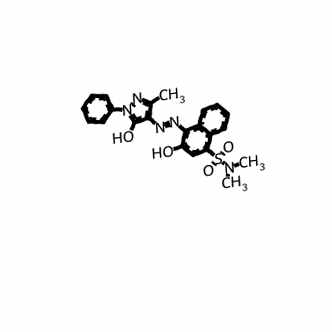 Cc1nn(-c2ccccc2)c(O)c1/N=N/c1c(O)cc(S(=O)(=O)N(C)C)c2ccccc12